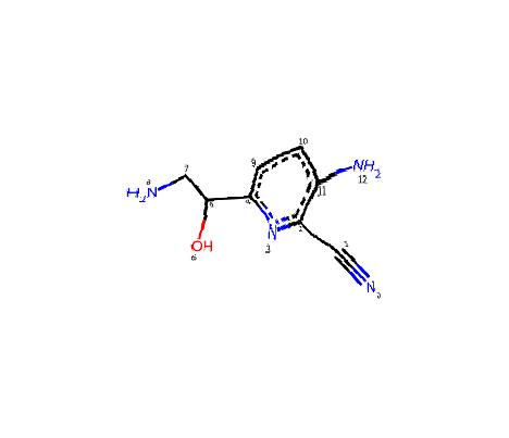 N#Cc1nc(C(O)CN)ccc1N